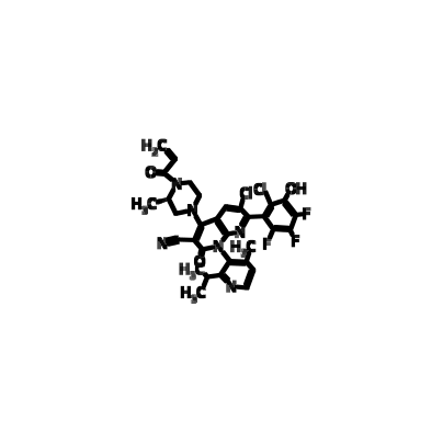 C=CC(=O)N1CCN(c2c(C#N)c(=O)n(-c3c(C)ccnc3C(C)C)c3nc(-c4c(F)c(F)c(F)c(O)c4Cl)c(Cl)cc23)C[C@H]1C